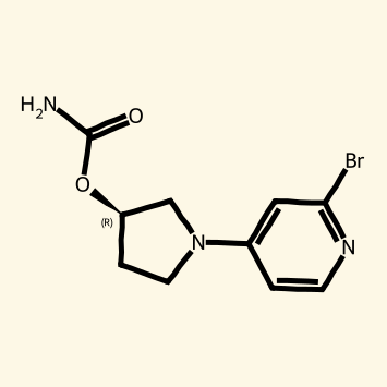 NC(=O)O[C@@H]1CCN(c2ccnc(Br)c2)C1